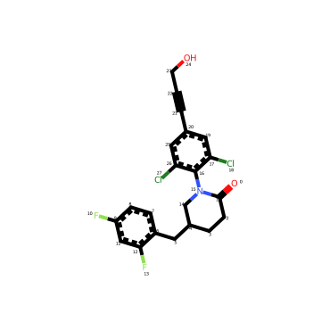 O=C1CCC(Cc2ccc(F)cc2F)CN1c1c(Cl)cc(C#CCO)cc1Cl